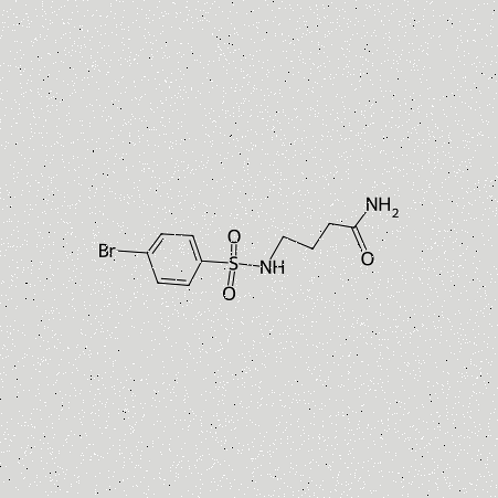 NC(=O)CCCNS(=O)(=O)c1ccc(Br)cc1